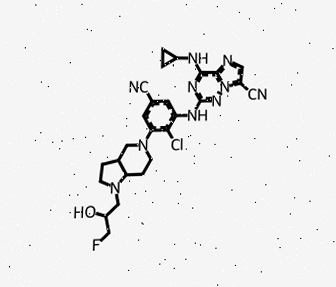 N#Cc1cc(Nc2nc(NC3CC3)c3ncc(C#N)n3n2)c(Cl)c(N2CCC3C(CCN3CC(O)CF)C2)c1